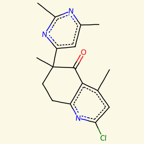 Cc1cc(C2(C)CCc3nc(Cl)cc(C)c3C2=O)nc(C)n1